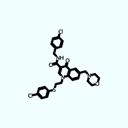 O=C(NCc1ccc(Cl)cc1)c1cn(CCSc2ccc(Cl)cc2)c2ccc(CN3CCOCC3)cc2c1=O